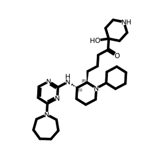 O=C(CCC[C@@H]1[C@@H](Nc2nccc(N3CCCCCC3)n2)CCCN1C1CCCCC1)C1(O)CCNCC1